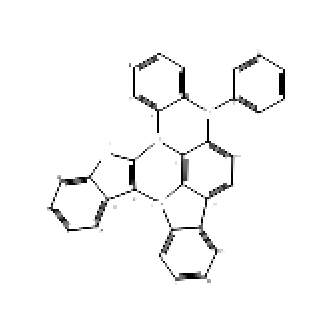 c1ccc(N2c3ccccc3B3c4sc5ccccc5c4-n4c5ccccc5c5ccc2c3c54)cc1